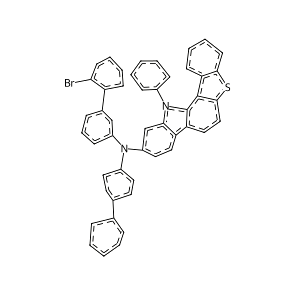 Brc1ccccc1-c1cccc(N(c2ccc(-c3ccccc3)cc2)c2ccc3c4ccc5sc6ccccc6c5c4n(-c4ccccc4)c3c2)c1